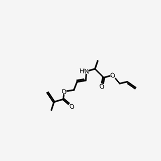 C=CCOC(=O)C(C)N/C=C/COC(=O)C(=C)C